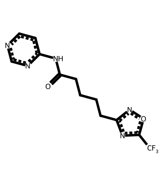 O=C(CCCCc1noc(C(F)(F)F)n1)Nc1ccncn1